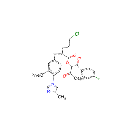 COC(=O)C(OC(=O)C(=Cc1ccc(-n2cnc(C)c2)c(OC)c1)CCCCl)C(=O)c1ccc(F)cc1